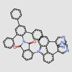 O=C1c2cccc(-n3c4cccc(-c5cncnc5)c4c4c(-c5cncnc5)cccc43)c2C(=O)N1c1c(-c2ccccc2)cc(-c2ccccc2)cc1-c1ccccc1